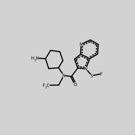 NC1CCCC(N(CC(F)(F)F)C(=O)c2cc3ncccc3n2SF)C1